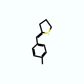 Cc1ccc(C=C2CCCS2)cc1